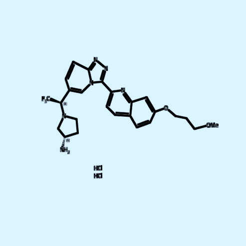 COCCCOc1ccc2ccc(-c3nnc4ccc([C@@H](N5CC[C@H](N)C5)C(F)(F)F)cn34)nc2c1.Cl.Cl